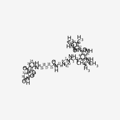 C/C(=C\C=C(/N)N1CCN(CCNC(=O)CCCCCCNc2cccc3c2C(=O)N(C2CCC(=O)NC2=O)C3=O)CC1)c1cc(NC(C)C)c(C=N)c(C(=O)NCc2c(C)cc(C)[nH]c2=O)c1